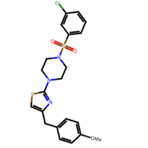 COc1ccc(Cc2csc(N3CCN(S(=O)(=O)c4cccc(Cl)c4)CC3)n2)cc1